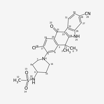 CC1(C)c2cc(N3CCC(NS(C)(=O)=O)CC3)c(Cl)cc2C(=O)c2c1[nH]c1cc(C#N)ccc21